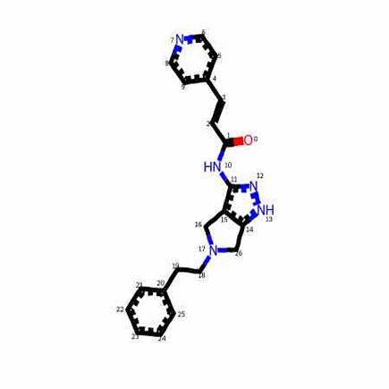 O=C(C=Cc1ccncc1)Nc1n[nH]c2c1CN(CCc1ccccc1)C2